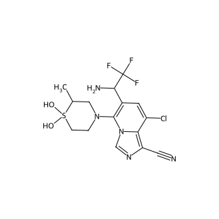 CC1CN(c2c(C(N)C(F)(F)F)cc(Cl)c3c(C#N)ncn23)CCS1(O)O